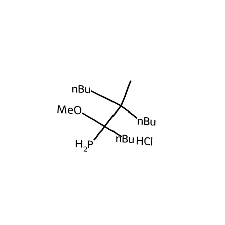 CCCCC(C)(CCCC)C(P)(CCCC)OC.Cl